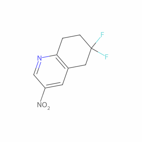 O=[N+]([O-])c1cnc2c(c1)CC(F)(F)CC2